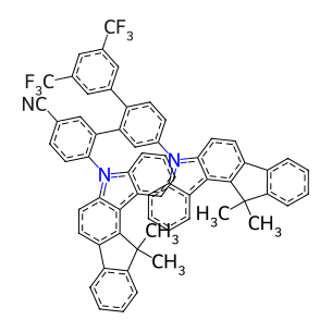 CC1(C)c2ccccc2-c2ccc3c(c21)c1ccccc1n3-c1ccc(-c2cc(C(F)(F)F)cc(C(F)(F)F)c2)c(-c2cc(C#N)ccc2-n2c3ccccc3c3c4c(ccc32)-c2ccccc2C4(C)C)c1